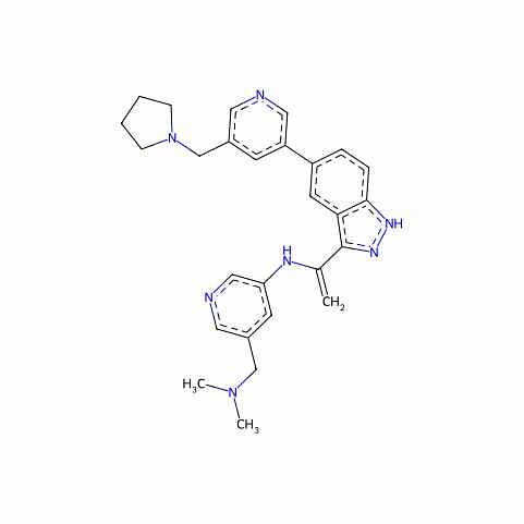 C=C(Nc1cncc(CN(C)C)c1)c1n[nH]c2ccc(-c3cncc(CN4CCCC4)c3)cc12